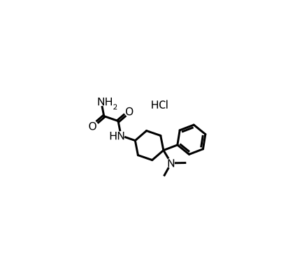 CN(C)C1(c2ccccc2)CCC(NC(=O)C(N)=O)CC1.Cl